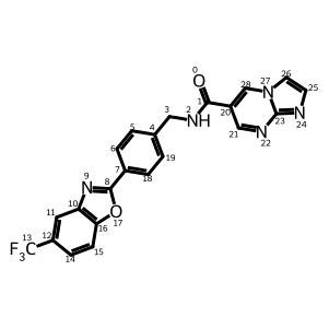 O=C(NCc1ccc(-c2nc3cc(C(F)(F)F)ccc3o2)cc1)c1cnc2nccn2c1